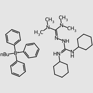 CCCC[B-](c1ccccc1)(c1ccccc1)c1ccccc1.CN(C)C(=NN/C(NC1CCCCC1)=[NH+]/C1CCCCC1)N(C)C